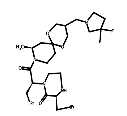 CC(C)C[C@@H]1NCCN([C@@H](CC(C)C)C(=O)N2CCC3(C[C@@H]2C)OCC(CN2CCC(F)(F)C2)CO3)C1=O